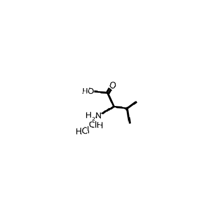 CC(C)C(N)C(=O)O.Cl.Cl